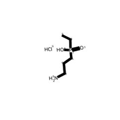 CCP(=O)(O)CCCN.Cl